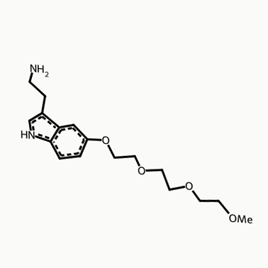 COCCOCCOCCOc1ccc2[nH]cc(CCN)c2c1